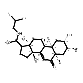 CC(NCC(F)F)C1CC[C@@]2(O)C3=CC(=O)[C@@H]4C[C@@H](O)[C@@H](O)C[C@]4(C)C3CC[C@]12C